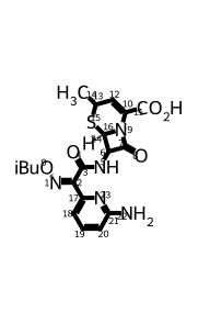 CC(C)CO/N=C(\C(=O)NC1C(=O)N2C(C(=O)O)=CC(C)S[C@H]12)c1cccc(N)n1